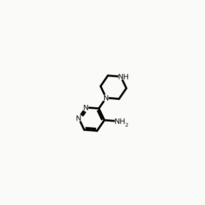 Nc1ccnnc1N1CCNCC1